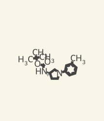 Cc1cccc(N2CC[C@@H](NC(=O)OC(C)(C)C)C2)c1